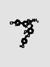 COc1ccc(COc2ccc(Cn3c(N)nc4cc(-c5ccc(Cl)nc5)cnc43)cc2OC)cc1